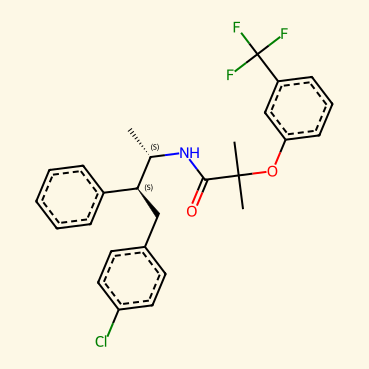 C[C@H](NC(=O)C(C)(C)Oc1cccc(C(F)(F)F)c1)[C@@H](Cc1ccc(Cl)cc1)c1ccccc1